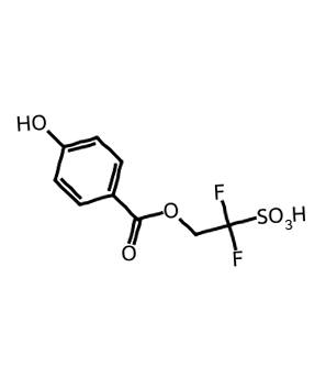 O=C(OCC(F)(F)S(=O)(=O)O)c1ccc(O)cc1